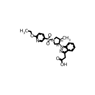 CCOc1ccc(S(=O)(=O)N2C[C@@H](C)[C@@H](n3nc(CC(=O)O)c4ccccc43)C2)cn1